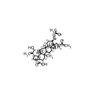 C=C(CO)[C@@H]1CC[C@]2(C(=O)O)CC[C@]3(C)[C@H](CC[C@@H]4[C@@]5(C)CCC(=NOC(C)=O)C(C)(COC(C)=O)[C@@H]5CC[C@]43C)[C@@H]12